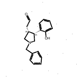 O=CC[C@H]1CN(Cc2ccccc2)C[C@H]1c1ccccc1O